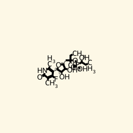 CCC(O)P(=O)(O)OC(C)(CC)C[C@H]1O[C@@H](c2c(C)[nH]c(=O)c(C)c2F)[C@@H](O)C1O